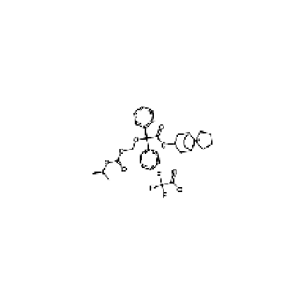 CC(C)OC(=O)OCOC(C(=O)OC1CC2CCC(C1)[N+]21CCCC1)(c1ccccc1)c1ccccc1.O=C([O-])C(F)(F)F